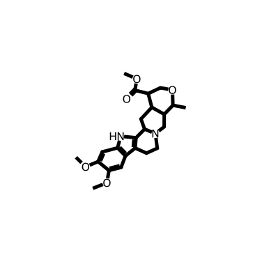 COC(=O)C1COC(C)C2CN3CCc4c([nH]c5cc(OC)c(OC)cc45)C3CC12